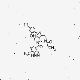 C=CC(=O)N1CCc2nn(-c3ccc(C4CCC4)cc3O)c3c2C(C1)N(C(=O)c1cnc(C(F)(F)F)c2[nH]ncc12)CC3